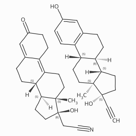 C#C[C@]1(O)CC[C@H]2[C@@H]3CCc4cc(O)ccc4[C@H]3CC[C@@]21C.C[C@]12CCC3=C4CCC(=O)C=C4CC[C@H]3[C@@H]1CC[C@@]2(O)CC#N